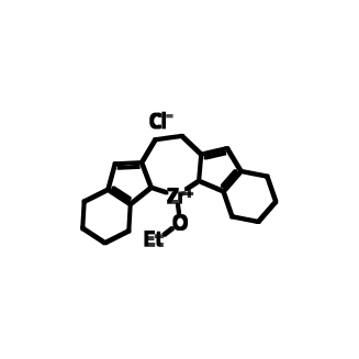 CC[O][Zr+]1[CH]2C(=CC3=C2CCCC3)CCC2=CC3=C(CCCC3)[CH]21.[Cl-]